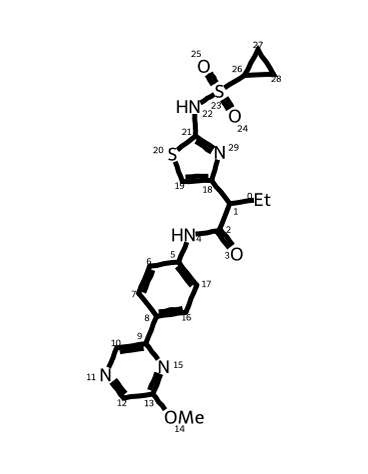 CCC(C(=O)Nc1ccc(-c2cncc(OC)n2)cc1)c1csc(NS(=O)(=O)C2CC2)n1